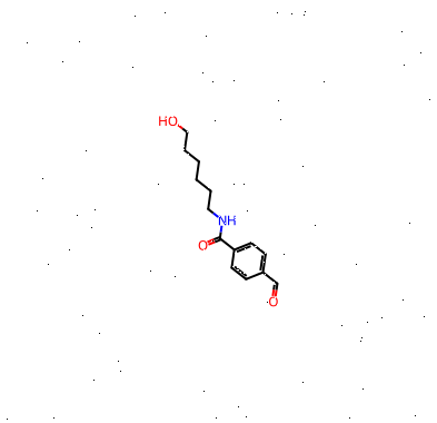 O=Cc1ccc(C(=O)NCCCCCCO)cc1